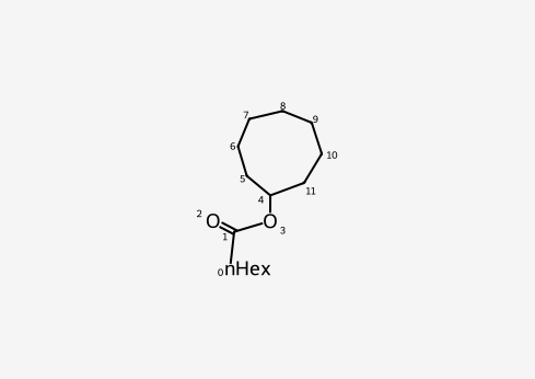 [CH2]CCCCCC(=O)OC1CCCCCCC1